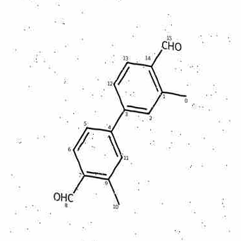 Cc1cc(-c2ccc(C=O)c(C)c2)ccc1C=O